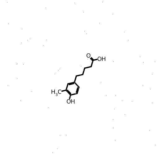 Cc1cc(CCCCC(=O)O)ccc1O